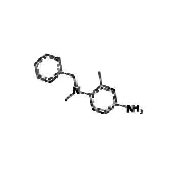 Cc1cc(N)ccc1N(C)Cc1ccccc1